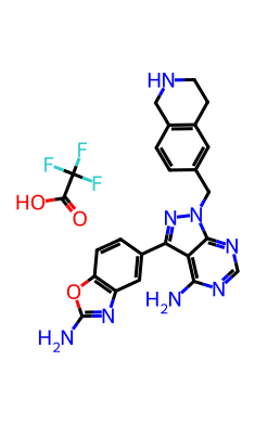 Nc1nc2cc(-c3nn(Cc4ccc5c(c4)CCNC5)c4ncnc(N)c34)ccc2o1.O=C(O)C(F)(F)F